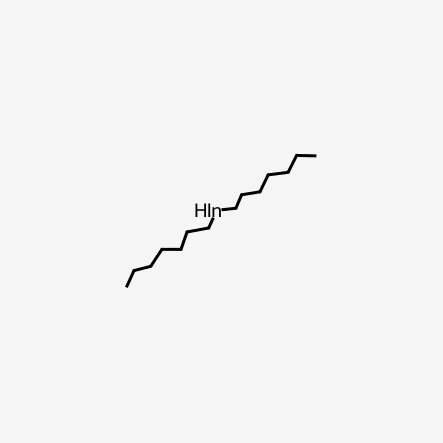 CCCCCC[CH2][InH][CH2]CCCCCC